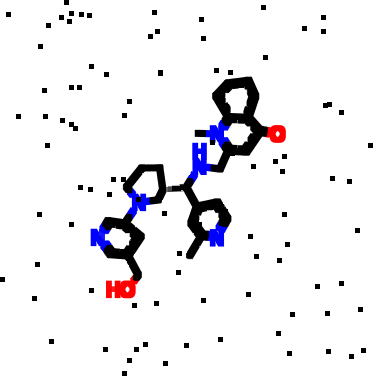 Cc1cc(C(NCc2cc(=O)c3ccccc3n2C)[C@H]2CCCN(c3cncc(CO)c3)C2)ccn1